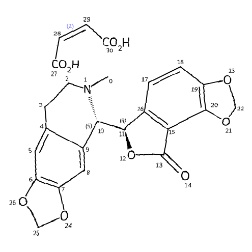 CN1CCc2cc3c(cc2[C@H]1[C@@H]1OC(=O)c2c1ccc1c2OCO1)OCO3.O=C(O)/C=C\C(=O)O